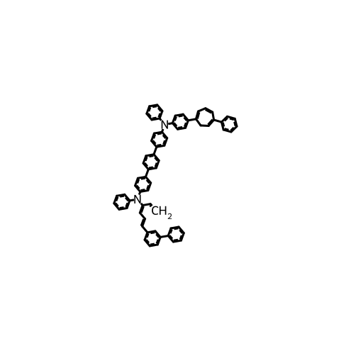 C=C/C(=C\C=C\c1cccc(-c2ccccc2)c1)N(c1ccccc1)c1ccc(-c2ccc(-c3ccc(N(c4ccccc4)c4ccc(C5=CC=CC(c6ccccc6)=CC5)cc4)cc3)cc2)cc1